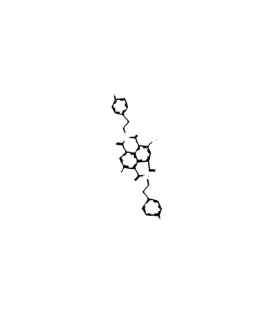 O=C1c2cc(Br)c3c4c(cc(Br)c(c24)C(=O)N1CCc1ccc(C(F)(F)F)cc1)C(=O)N(CCc1ccc(C(F)(F)F)cc1)C3=O